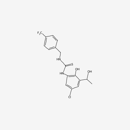 CC(O)c1cc(Cl)cc(NC(=S)NCc2ccc(C(F)(F)F)cc2)c1O